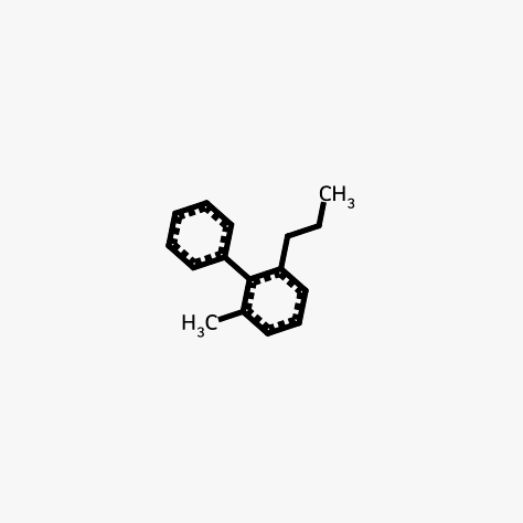 CCCc1cccc(C)c1-c1ccccc1